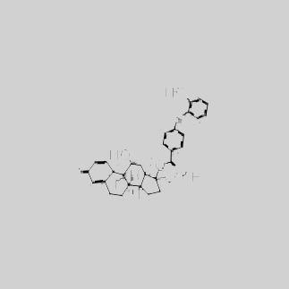 C[C@]12C=CC(=O)C=C1CC[C@H]1[C@@H]3CC[C@](OC(=O)c4ccc(Sc5ccccc5O)cc4)(C(=O)O)[C@@]3(C)C[C@H](O)[C@@]12F